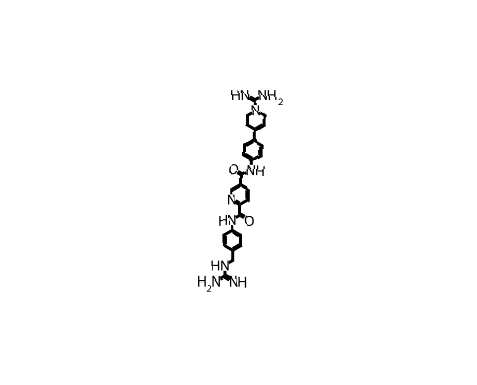 N=C(N)NCc1ccc(NC(=O)c2ccc(C(=O)Nc3ccc(C4=CCN(C(=N)N)CC4)cc3)cn2)cc1